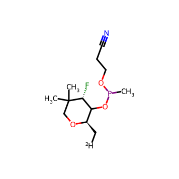 [2H]C[C@H]1OCC(C)(C)[C@H](F)C1OP(C)OCCC#N